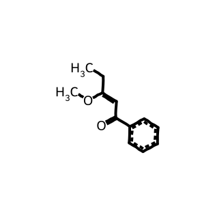 CC/C(=C/C(=O)c1ccccc1)OC